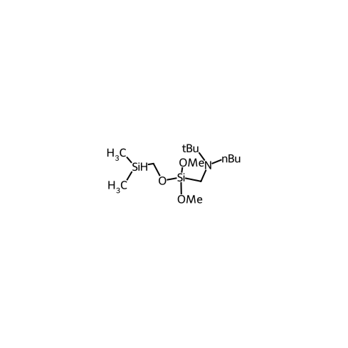 CCCCN(C[Si](OC)(OC)OC[SiH](C)C)C(C)(C)C